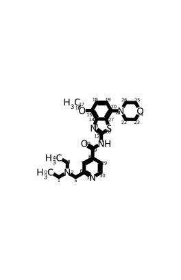 CCN(CC)Cc1cc(C(=O)Nc2nc3c(OC)ccc(N4CCOCC4)c3s2)ccn1